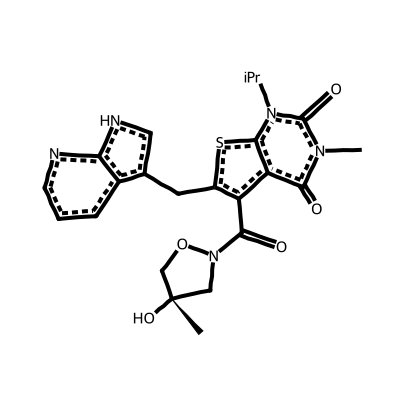 CC(C)n1c(=O)n(C)c(=O)c2c(C(=O)N3C[C@](C)(O)CO3)c(Cc3c[nH]c4ncccc34)sc21